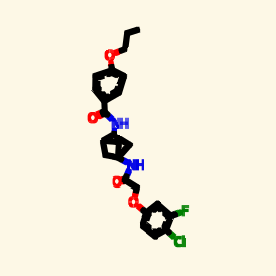 CCCOc1ccc(C(=O)NC2CC3(NC(=O)COc4ccc(Cl)c(F)c4)CC2C3)cc1